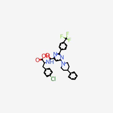 O=C(NC(Cc1ccc(Cl)cc1)C(=O)O)c1cc(N2CCC(c3ccccc3)CC2)nc(-c2ccc(C(F)(F)F)cc2)n1